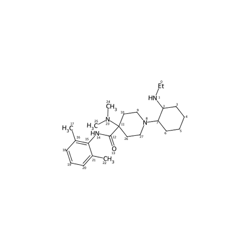 CCNC1CCCCC1N1CCC(C(=O)Nc2c(C)cccc2C)(N(C)C)CC1